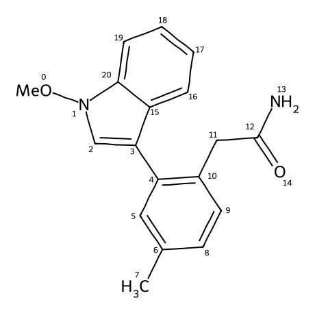 COn1cc(-c2cc(C)ccc2CC(N)=O)c2ccccc21